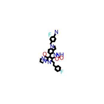 N#Cc1ccc(Cn2ccc3cc(-c4c(-c5n[nH]c(=O)o5)c(CCc5ccc(F)cc5)nc5c4c(=O)n4n5CCC4)ccc32)cc1F